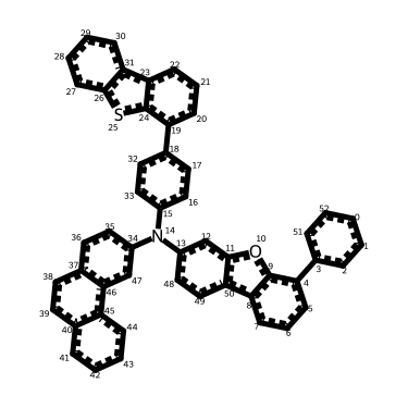 c1ccc(-c2cccc3c2oc2cc(N(c4ccc(-c5cccc6c5sc5ccccc56)cc4)c4ccc5ccc6ccccc6c5c4)ccc23)cc1